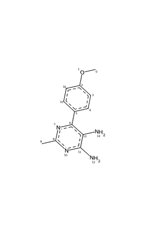 COc1ccc(-c2nc(C)nc(N)c2N)cc1